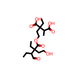 CCC(C=O)C(CC)(CCO)C(=O)OCCC(CC)(C(=O)O)C(C)C(=O)O